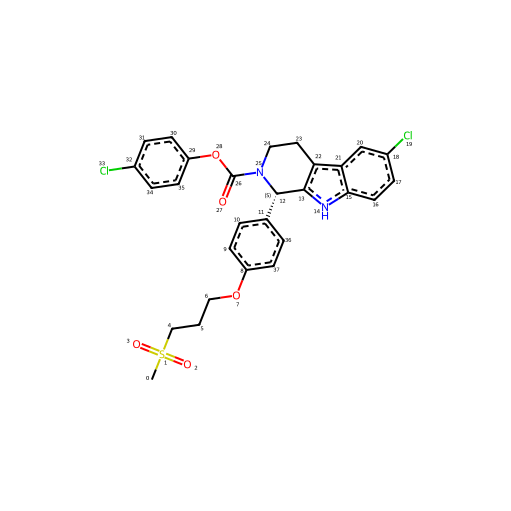 CS(=O)(=O)CCCOc1ccc([C@H]2c3[nH]c4ccc(Cl)cc4c3CCN2C(=O)Oc2ccc(Cl)cc2)cc1